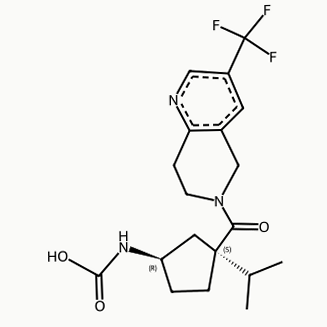 CC(C)[C@]1(C(=O)N2CCc3ncc(C(F)(F)F)cc3C2)CC[C@@H](NC(=O)O)C1